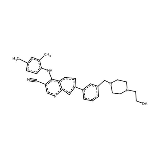 Cc1ccc(Nc2c(C#N)cnc3cc(-c4cccc(CN5CCN(CCO)CC5)c4)ccc23)c(C)c1